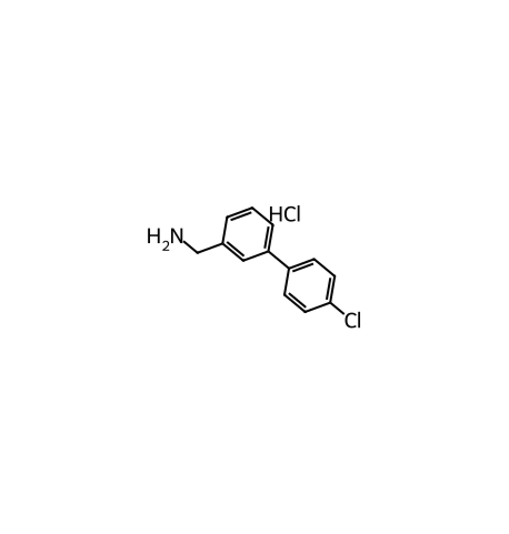 Cl.NCc1cccc(-c2ccc(Cl)cc2)c1